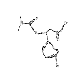 CN(C)C(=S)SC(C[N+](=O)[O-])c1ccc(Br)cc1